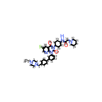 CC(C)N1CCN(Cc2ccc(-c3cccc(-n4c(=O)n(C5CCC(NC(=O)CN6CCCCC6)CC5)c(=O)c5cc(F)cnc54)c3)cc2)CC1